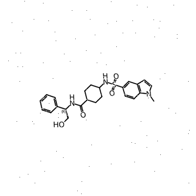 Cn1ccc2cc(S(=O)(=O)NC3CCC(C(=O)N[C@@H](CO)c4ccccc4)CC3)ccc21